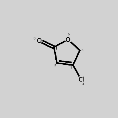 O=C1C=C(Cl)CO1